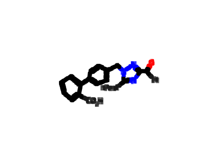 CCCCCc1nc(C(=O)CC)nn1Cc1ccc(-c2ccccc2C(=O)O)cc1